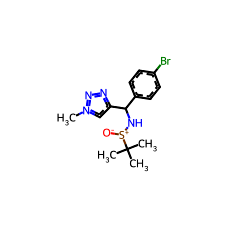 Cn1cc(C(N[S+]([O-])C(C)(C)C)c2ccc(Br)cc2)nn1